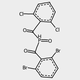 O=C(c1c(Cl)cccc1Cl)[PH](=O)C(=O)c1c(Br)cccc1Br